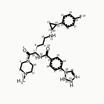 CN1CCN(C(=O)[C@H](CCCN[C@@H]2C[C@H]2c2ccc(F)cc2)NC(=O)c2ccc(N3C=NNN3)cc2)CC1